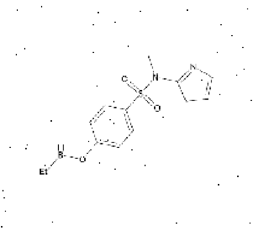 CCBOc1ccc(S(=O)(=O)N(C)C2=NC=CC2)cc1